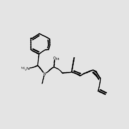 C=C/C=C\C=C(/C)CC(O)N(C)C(N)c1ccccc1